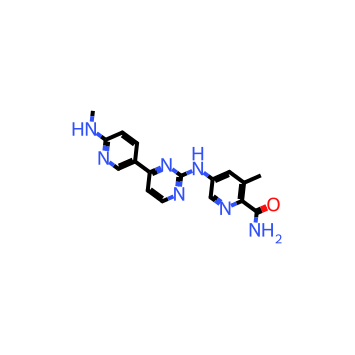 CNc1ccc(-c2ccnc(Nc3cnc(C(N)=O)c(C)c3)n2)cn1